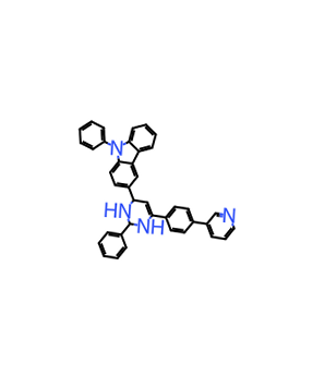 C1=C(c2ccc(-c3cccnc3)cc2)NC(c2ccccc2)NC1c1ccc2c(c1)c1ccccc1n2-c1ccccc1